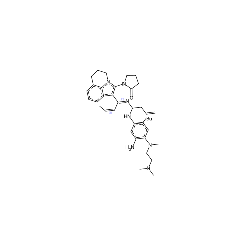 C=CCC(/N=C(\C=C/C)c1c(N2CCCC2=O)n2c3c(cccc13)CCC2)Nc1cc(N)c(N(C)CCN(C)C)cc1C(C)CC